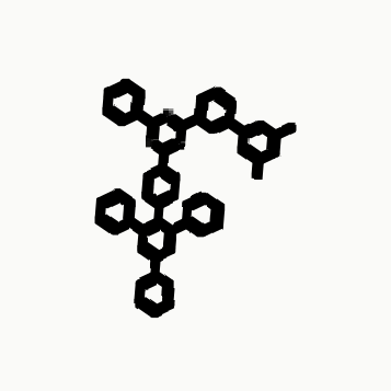 Cc1cc(C)cc(-c2cccc(-c3nc(-c4ccccc4)nc(-c4ccc(-c5c(-c6ccccc6)cc(-c6ccccc6)cc5-c5ccccc5)cc4)n3)c2)c1